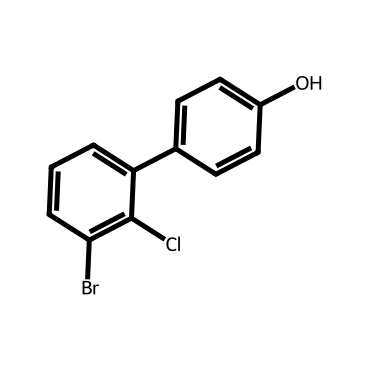 Oc1ccc(-c2cccc(Br)c2Cl)cc1